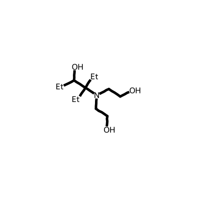 CCC(O)C(CC)(CC)N(CCO)CCO